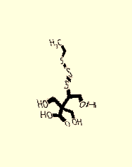 CCSSSC(CO)C(CO)(CO)C(=O)O